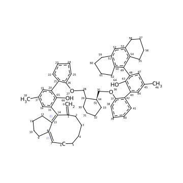 C=C1CCCCC/C=C2/CCCC/C2=C/1c1cc(C)cc(-c2ccccc2OCC2CCCC[C@@H]2COc2ccccc2-c2cc(C)cc(-c3c4c(cc5c3CCCC5)CCCC4)c2O)c1O